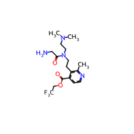 Cc1nccc(C(=O)OCC(F)(F)F)c1CCN(CCN(C)C)C(=O)CN